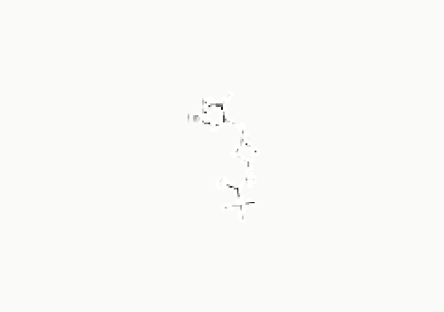 Cc1n[nH]cc1CN1CC(OC(=O)C(C)(C)C)C1